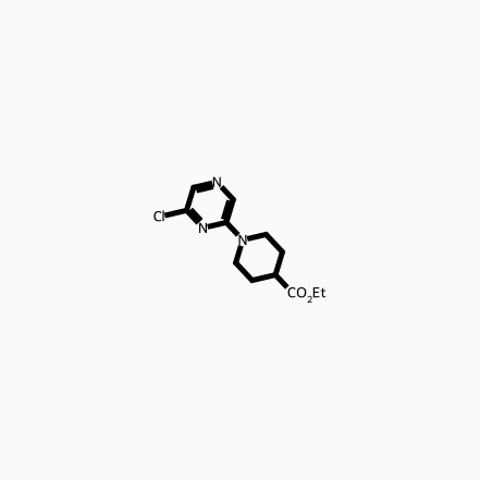 CCOC(=O)C1CCN(c2cncc(Cl)n2)CC1